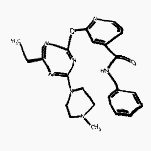 CCc1nc(Oc2cc(C(=O)Nc3ccccc3)ccn2)nc(N2CCN(C)CC2)n1